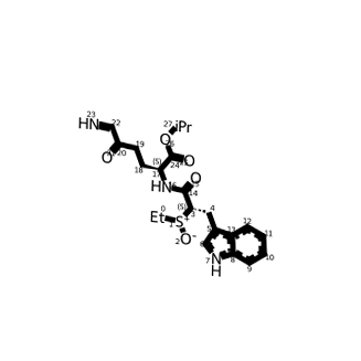 CC[S+]([O-])[C@@H](Cc1c[nH]c2ccccc12)C(=O)N[C@@H](CCC(=O)C=N)C(=O)OC(C)C